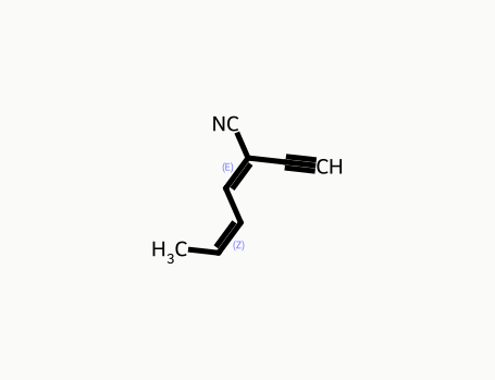 C#C/C(C#N)=C\C=C/C